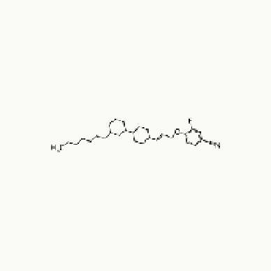 CCCCCCCC1CCCC(C2CCC(/C=C/COc3ccc(C#N)cc3F)CC2)C1